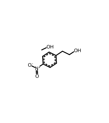 CO.O=[N+]([O-])c1ccc(CCO)cc1